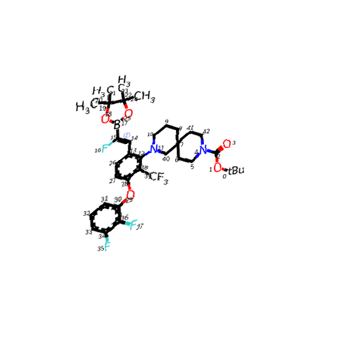 CC(C)(C)OC(=O)N1CCC2(CCCN(c3c(/C=C(\F)B4OC(C)(C)C(C)(C)O4)ccc(Oc4cccc(F)c4F)c3C(F)(F)F)C2)CC1